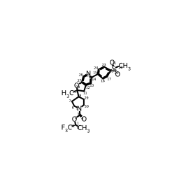 C[C@H](OC(=O)N1CCC([C@@]2(C)Cc3cc(-c4ccc(S(C)(=O)=O)cc4)ncc3O2)CC1)C(F)(F)F